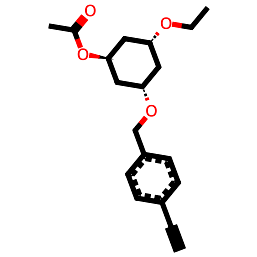 C#Cc1ccc(CO[C@H]2C[C@@H](OCC)C[C@H](OC(C)=O)C2)cc1